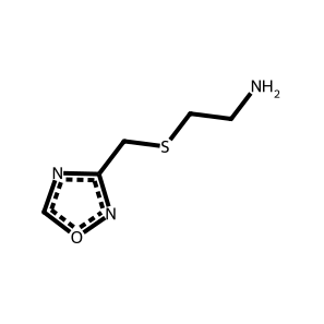 NCCSCc1ncon1